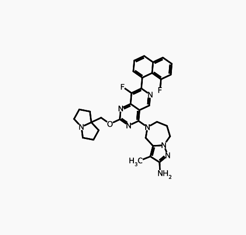 Cc1c(N)nn2c1CN(c1nc(OCC34CCCN3CCC4)nc3c(F)c(-c4cccc5cccc(F)c45)ncc13)CCC2